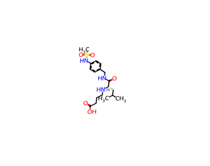 CC(C)C[C@H](NCCCC(=O)O)C(=O)NCc1ccc(NS(C)(=O)=O)cc1